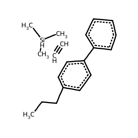 C#C.CCCc1ccc(-c2ccccc2)cc1.C[SiH](C)C